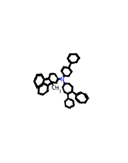 CC1(C2CCCCC2)CC(N(C2CCC(C3CCCCC3)CC2)C2CCC(C3=CC=CCC=C3)C(C3CCCCC3)CC2)CCC1C1CCCCC1